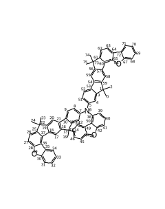 CC1(C)c2cc(N(c3ccc4c(c3)C(C)(C)c3cc5c(cc3-4)C(C)(C)c3ccc4oc6ccccc6c4c3-5)c3cccc4oc5ccccc5c34)ccc2-c2cc3c(cc21)-c1c(ccc2c1oc1ccccc12)C3(C)C